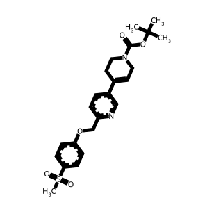 CC(C)(C)OC(=O)N1CC=C(c2ccc(COc3ccc(S(C)(=O)=O)cc3)nc2)CC1